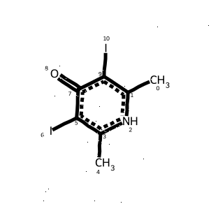 Cc1[nH]c(C)c(I)c(=O)c1I